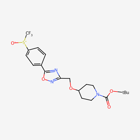 CC(C)(C)OC(=O)N1CCC(OCc2noc(-c3ccc([S+]([O-])C(F)(F)F)cc3)n2)CC1